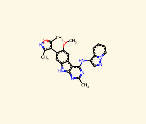 COc1cc2c(cc1-c1c(C)noc1C)[nH]c1nc(C)nc(Nc3cnn4ccccc34)c12